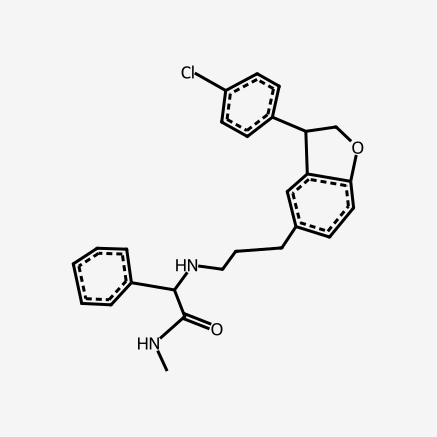 CNC(=O)C(NCCCc1ccc2c(c1)C(c1ccc(Cl)cc1)CO2)c1ccccc1